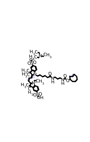 CCN(CC)CC.CC[N+]1=C(/C=C\C=C2\N(CCCCCC(=O)NCCCNC(=O)OC3C/C=C/CCCC3)c3ccc(S(=O)(=O)[O-])cc3C2(C)C)C(C)(C)c2cc(S(=O)(=O)O)ccc21